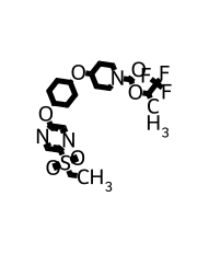 CCS(=O)(=O)c1cnc(O[C@H]2CC[C@H](OC3CCN(C(=O)OC(C)C(F)(F)F)CC3)CC2)cn1